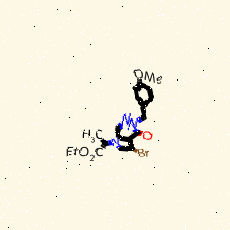 CCOC(=O)C(C)n1cc(Br)c2c(=O)n(Cc3ccc(OC)cc3)ncc21